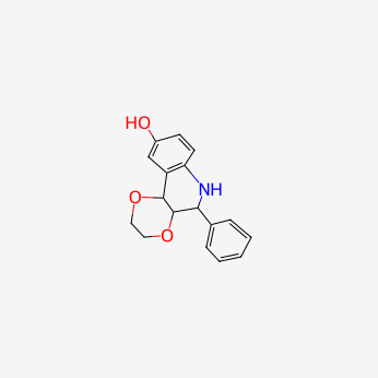 Oc1ccc2c(c1)C1OCCOC1C(c1ccccc1)N2